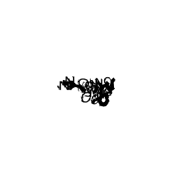 COc1cccc(OC)c1-n1c(NS(=O)(=O)C[C@@H](O)c2cn(C)cn2)nnc1-c1ccc(C)o1